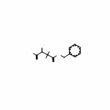 CC(C(=O)O)C(C)(C)C(=O)OCc1ccccc1